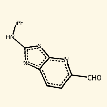 CC(C)Nc1nc2ccc(C=O)nc2s1